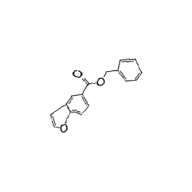 O=C(OCc1ccccc1)c1ccc2occc2c1